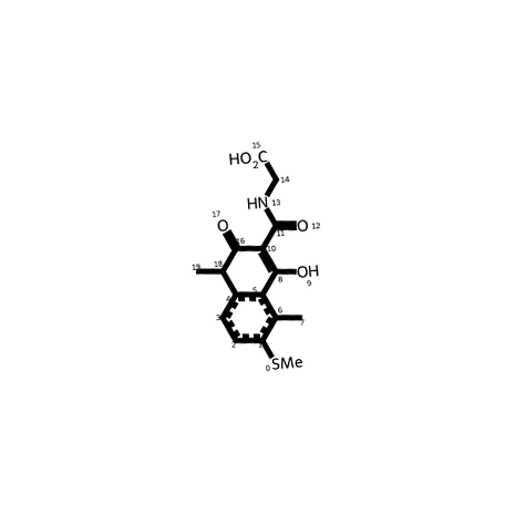 CSc1ccc2c(c1C)C(O)=C(C(=O)NCC(=O)O)C(=O)C2C